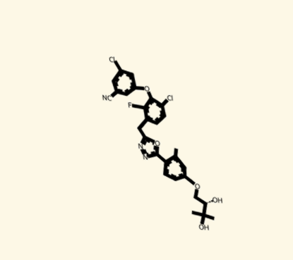 Cc1cc(OC[C@H](O)C(C)(C)O)ccc1-c1nnc(Cc2ccc(Cl)c(Oc3cc(Cl)cc(C#N)c3)c2F)o1